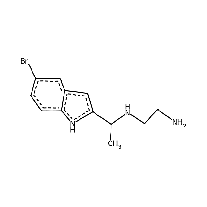 CC(NCCN)c1cc2cc(Br)ccc2[nH]1